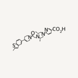 Cc1cc2cc(C3=CCN(C(=O)CN4[C@H](C)CN(c5ccc(C(=O)O)cn5)C[C@@H]4C)CC3)ccc2s1